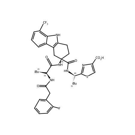 CC[C@H](C)[C@H](NC(=O)Cc1ccccc1F)C(=O)N[C@]1(C(=O)N[C@@H](c2nc(C(=O)O)cs2)[C@@H](C)CC)CCc2[nH]c3c(C(F)(F)F)cccc3c2C1